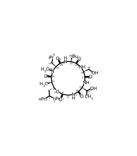 CCCC(CCC)C[C@H]1OC(=O)CNC(=O)[C@H](C(C)O)NC(=O)[C@H](CO)NC(=O)[C@H](C(C)CC)NC(=O)[C@H](CC(C)C)N(C)C(=O)[C@@H]1C